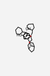 O=C([C@@H](O)C1CCCCC1)N(CCN1C2CCC1CC(c1cccc(O)c1)C2)CC1CCCCC1